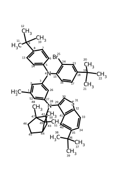 Cc1cc(N(c2ccc(C(C)(C)C)cc2)c2ccc(C(C)(C)C)cc2Br)cc(N(c2csc3ccc(C(C)(C)C)cc23)C2CC3CCC2(C)C3(C)C)c1